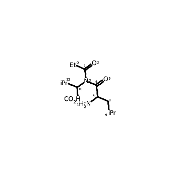 CCC(=O)N(C(=O)C(N)CC(C)C)C(C(=O)O)C(C)C